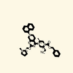 C[C@H]1CN(C(=O)OCc2ccccc2)[C@@H](CC#N)CN1c1nc(OC[C@@H]2CCCN2C)nc2c1CCN(c1cccc3ccccc13)C2